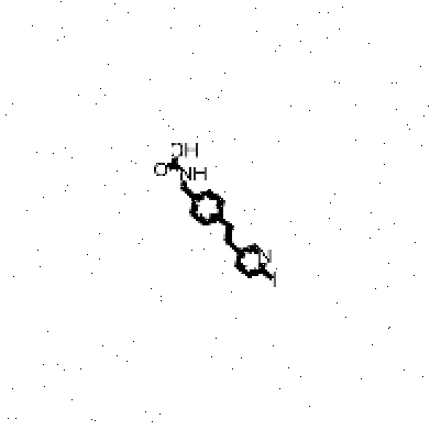 O=C(O)NCc1ccc(C=Cc2ccc(I)nc2)cc1